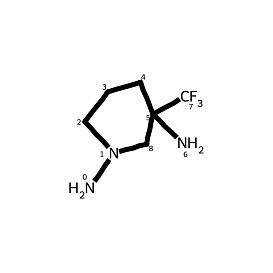 NN1CCCC(N)(C(F)(F)F)C1